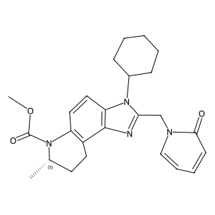 COC(=O)N1c2ccc3c(nc(Cn4ccccc4=O)n3C3CCCCC3)c2CC[C@@H]1C